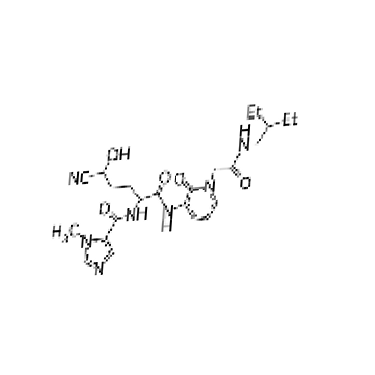 CCC(CC)CNC(=O)Cn1cccc(NC(=O)C(CCC(O)C#N)NC(=O)c2cncn2C)c1=O